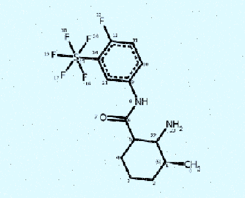 C[C@H]1CCCC(C(=O)Nc2ccc(F)c(S(F)(F)(F)(F)F)c2)C1N